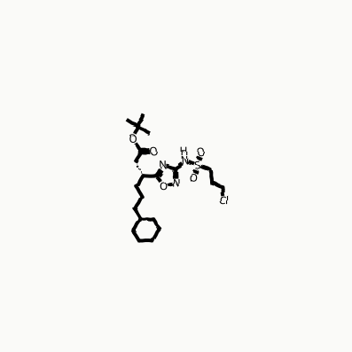 CC(C)(C)OC(=O)C[C@@H](CCCC1CCCCC1)c1nc(NS(=O)(=O)CCCCl)no1